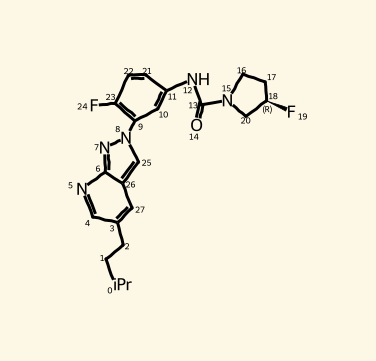 CC(C)CCc1cnc2nn(-c3cc(NC(=O)N4CC[C@@H](F)C4)ccc3F)cc2c1